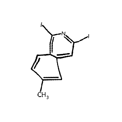 Cc1ccc2c(I)nc(I)cc2c1